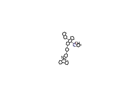 C/C=C(\C=C/c1ccccc1)c1c2ccccc2c(-c2ccc3ccccc3c2)c2ccc(-c3ccc(-c4ccc5c(c4)nc4c6ccccc6c6ccccc6n54)cc3)cc12